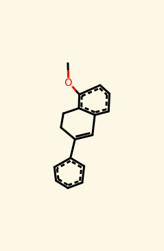 COc1cccc2c1CCC(c1ccccc1)=C2